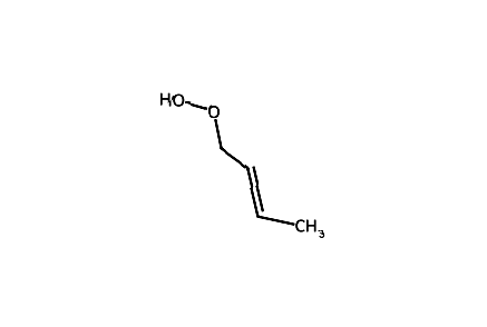 CC=CCOO